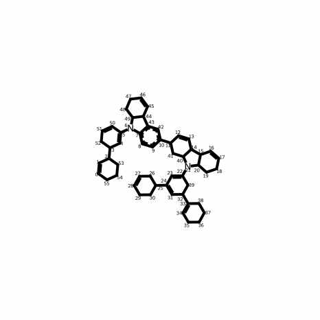 C1=CC(C2C=C(N3c4ccc(C5C=CC6C7C=CCCC7N(C7=CC(C8CC=CCC8)=CC(C8=CCCCC8)C7)C6C5)cc4C4C=CCCC43)C=CC2)CCC1